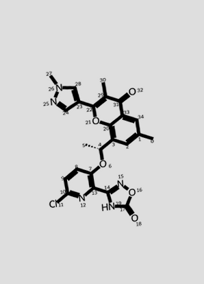 Cc1cc([C@@H](C)Oc2ccc(Cl)nc2-c2noc(=O)[nH]2)c2oc(-c3cnn(C)c3)c(C)c(=O)c2c1